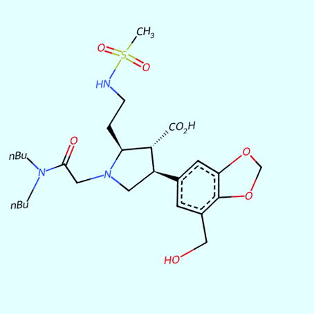 CCCCN(CCCC)C(=O)CN1C[C@H](c2cc(CO)c3c(c2)OCO3)[C@@H](C(=O)O)[C@@H]1CCNS(C)(=O)=O